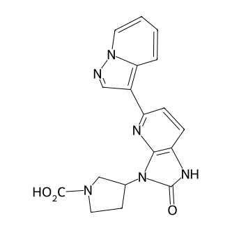 O=C(O)N1CCC(n2c(=O)[nH]c3ccc(-c4cnn5ccccc45)nc32)C1